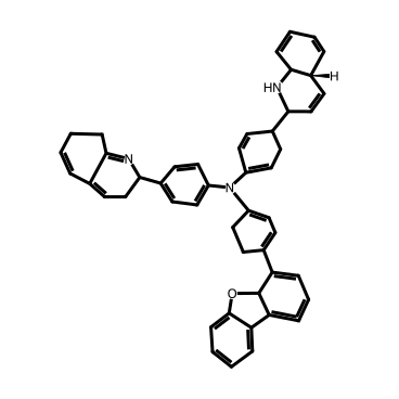 C1=CC=C(C2=CC=C(N(C3=CCC(C4C=C[C@H]5C=CC=CC5N4)C=C3)c3ccc(C4CC=C5C=CCCC5=N4)cc3)CC2)C2Oc3ccccc3C=12